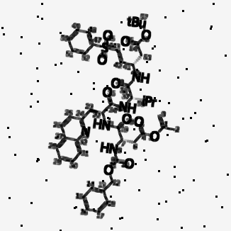 C=C(C)OC(=O)C[C@H](NC(=O)OCc1ccccc1)C(=O)N[C@@H](Cc1ccc2ccccc2n1)C(=O)N[C@H](C(=O)N[C@H](/C=C/S(=O)(=O)c1ccccc1)CC(=O)OC(C)(C)C)C(C)C